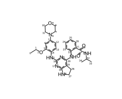 CCOc1cc(N2CCOCC2)ccc1Nc1nc2c(c(Nc3ccccc3S(=O)(=O)NC(C)C)n1)CCN2